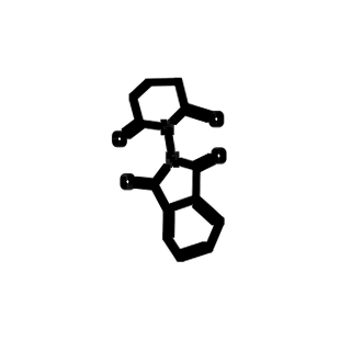 O=C1CCCC(=O)N1N1C(=O)c2ccccc2C1=O